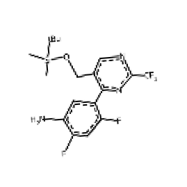 CC(C)(C)[Si](C)(C)OCc1cnc(C(F)(F)F)nc1-c1cc(N)c(F)cc1F